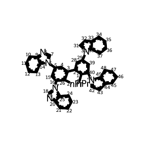 CCCc1c(-c2cc(-n3cnc4ccccc43)cc(-n3cnc4ccccc43)c2CCC)cc(-n2ccc3ccccc32)cc1-n1ccc2ccccc21